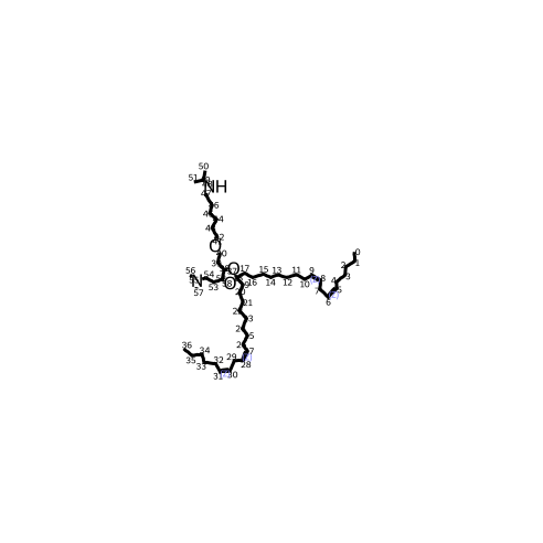 CCCCC/C=C\C/C=C\CCCCCCCCC1(CCCCCCCC/C=C\C/C=C\CCCCC)OC(CCOCCCCCCNC(C)C)C(CCN(C)C)O1